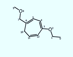 CCOC1=CC=C(COC)CC=C1